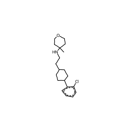 CC1(NCCC2CCC(c3ccccc3Cl)CC2)CCOCC1